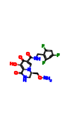 NOC[C@H]1CNC(=O)c2c(O)c(=O)c(C(=O)NCc3c(F)cc(F)cc3F)cn21